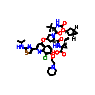 C=C[C@@H]1CC1(NC(=O)[C@@H]1CC(Oc2cc(-c3csc(NC(C)C)n3)nc3c(Cl)c(OCCN4CCCCC4)ccc23)CN1C(=O)[C@@H](NC(=O)O[C@@H]1C[C@@H]2C[C@@H]2C1)C(C)(C)C)C(=O)O